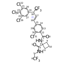 O=C(NC1(C(=O)NCC(F)(F)F)CCC1)c1ccc(/C=C/C(c2cc(Cl)c(Cl)c(Cl)c2)C(F)(F)F)cc1Cl